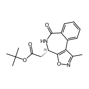 Cc1noc2c1-c1ccccc1C(=O)N[C@H]2CC(=O)OC(C)(C)C